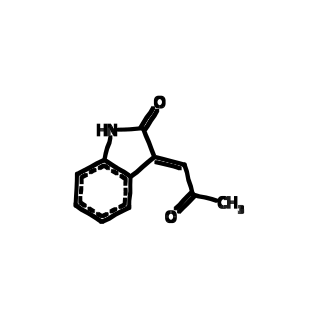 CC(=O)/C=C1/C(=O)Nc2ccccc21